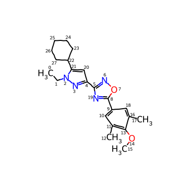 CCn1nc(-c2noc(-c3cc(C)c(OC)c(C)c3)n2)cc1C1CCCCC1